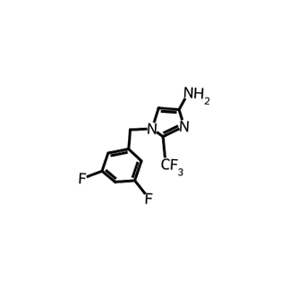 Nc1cn(Cc2cc(F)cc(F)c2)c(C(F)(F)F)n1